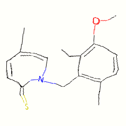 COc1ccc(C)c(Cn2cc(C)ccc2=S)c1C